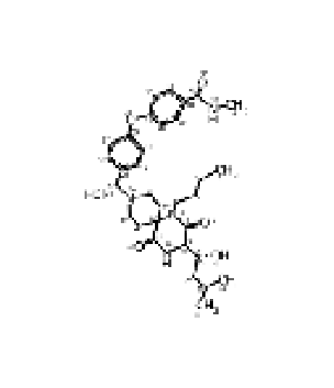 CCCCN1C(=O)[C@@H]([C@H](O)CC(C)C)NC(=O)C12CCN(Cc1ccc(Oc3ccc(C(=O)NC)cc3)cc1)CC2.Cl